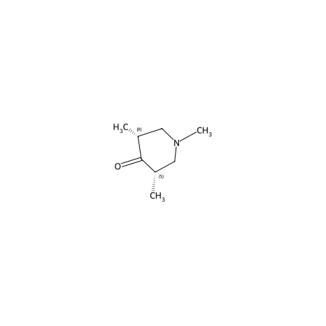 C[C@@H]1CN(C)C[C@H](C)C1=O